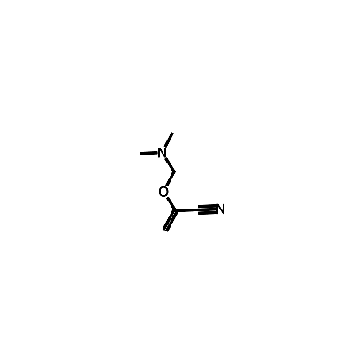 C=C(C#N)OCN(C)C